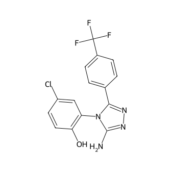 Nc1nnc(-c2ccc(C(F)(F)F)cc2)n1-c1cc(Cl)ccc1O